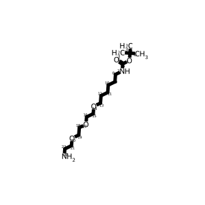 CC(C)(C)OC(=O)NCCCCCCOCCOCCOCCN